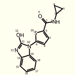 O=C(NC1CC1)c1ccc(-n2c(O)nc3ccccc32)s1